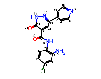 Nc1cc(Cl)ccc1NC(=O)c1cc(-c2ccncc2)n[nH]c1=O